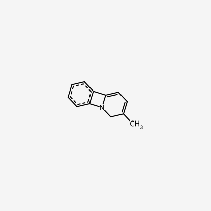 CC1=CC=C2c3ccccc3N2C1